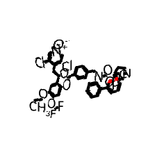 CCCOc1cc(C(Cc2c(Cl)c[n+]([O-])cc2Cl)OC(=O)c2ccc(CN(C(=O)O[C@H]3CN4CCC3CC4)c3ccccc3-c3cccnc3)cc2)ccc1OC(F)F